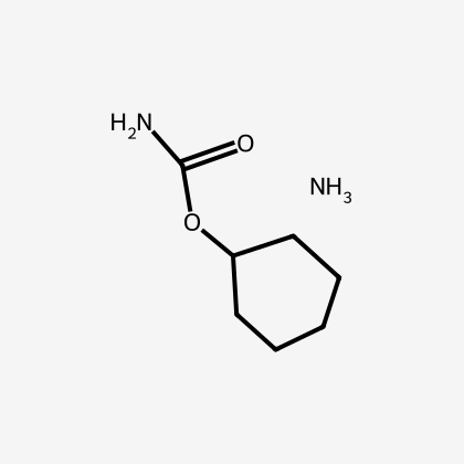 N.NC(=O)OC1CCCCC1